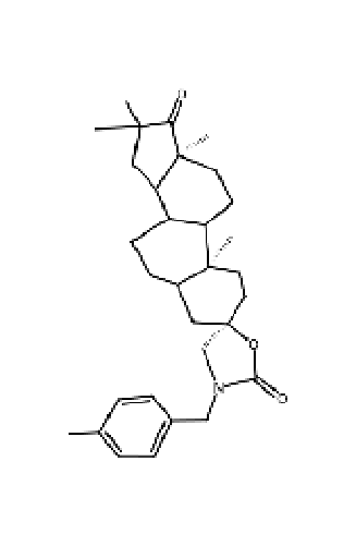 Cc1ccc(CN2C[C@]3(CC[C@@]4(C)C(CCC5C4CC[C@]4(C)C(=O)C(C)(C)CC54)C3)OC2=O)cc1